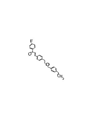 C=Cc1ccc(COCCc2ccc(C=CC(=O)c3ccc(F)cc3)cc2)cc1